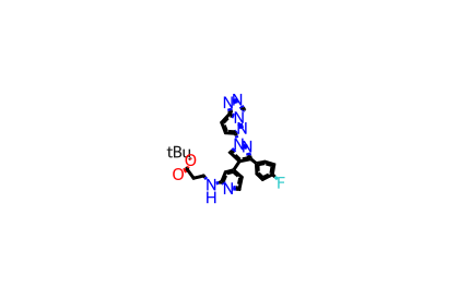 CC(C)(C)OC(=O)CCNc1cc(-c2cn(-c3ccc4nncn4n3)nc2-c2ccc(F)cc2)ccn1